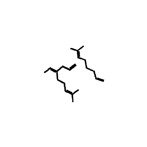 C=CC/C(=C/C)CCC=C(C)C.C=CCCCC=C(C)C